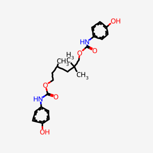 CC(CCOC(=O)Nc1ccc(O)cc1)CC(C)(C)COC(=O)Nc1ccc(O)cc1